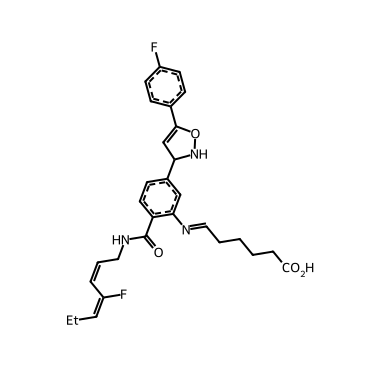 CC/C=C(F)\C=C/CNC(=O)c1ccc(C2C=C(c3ccc(F)cc3)ON2)cc1/N=C/CCCCC(=O)O